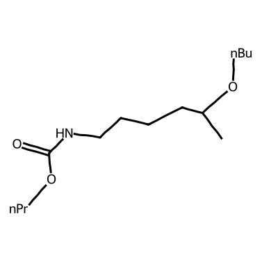 CCCCOC(C)CCCCNC(=O)OCCC